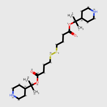 CC(C)(OC(=O)CCCSSCCCC(=O)OC(C)(C)C1CCNCC1)C1CCNCC1